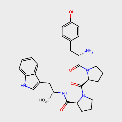 N[C@@H](Cc1ccc(O)cc1)C(=O)N1CCC[C@H]1C(=O)N1CCC[C@H]1C(=O)N[C@@H](Cc1c[nH]c2ccccc12)C(=O)O